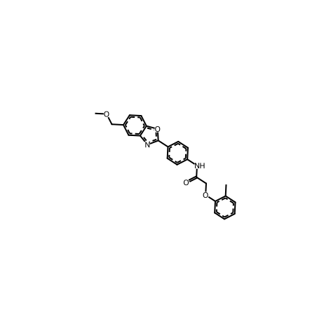 COCc1ccc2oc(-c3ccc(NC(=O)COc4ccccc4C)cc3)nc2c1